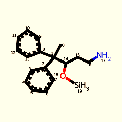 CC(c1ccccc1)(c1ccccc1)C(CCN)O[SiH3]